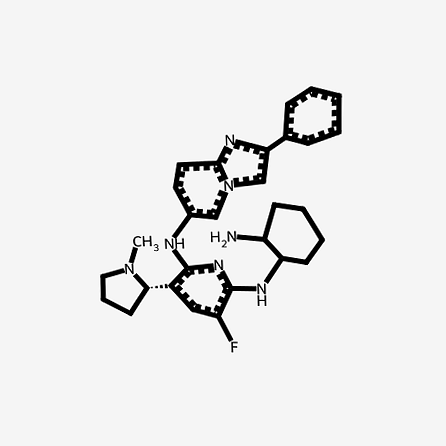 CN1CCC[C@H]1c1cc(F)c(NC2CCCCC2N)nc1Nc1ccc2nc(-c3ccccc3)cn2c1